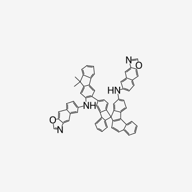 CC1(C)c2ccccc2-c2cc(-c3ccc4c(c3)-c3ccccc3C43c4cc(Nc5ccc6cc7ocnc7cc6c5)ccc4-c4c3ccc3ccccc43)c(Nc3ccc4cc5ocnc5cc4c3)cc21